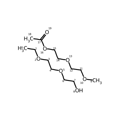 CCOCCOCCO.COCCOCCOC(C)=O